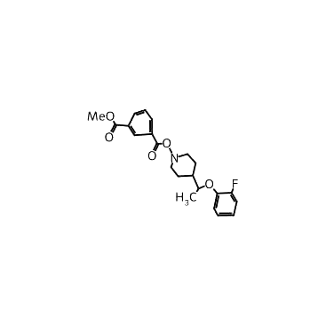 COC(=O)c1cccc(C(=O)ON2CCC(C(C)Oc3ccccc3F)CC2)c1